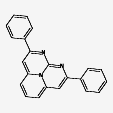 C1=CC2=CC(c3ccccc3)=NC3=NC(c4ccccc4)=CC(=C1)N23